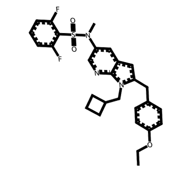 CCOc1ccc(Cc2cc3cc(N(C)S(=O)(=O)c4c(F)cccc4F)cnc3n2CC2CCC2)cc1